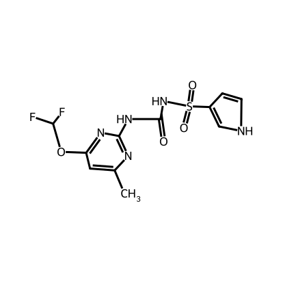 Cc1cc(OC(F)F)nc(NC(=O)NS(=O)(=O)c2cc[nH]c2)n1